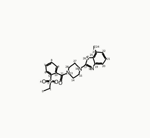 CCS(=O)(=O)c1ccccc1C(=O)N1CCN(c2nc3cccc(F)c3s2)CC1